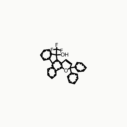 OC1(C(F)(F)F)c2ccccc2-c2c1c1c(c3ccccc23)OC(c2ccccc2)(c2ccccc2)C=C1